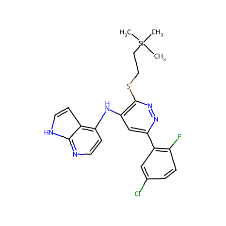 C[Si](C)(C)CCSc1nnc(-c2cc(Cl)ccc2F)cc1Nc1ccnc2[nH]ccc12